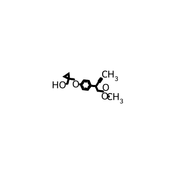 CC#CC(CC(=O)OC)c1ccc(OCC2(CO)CC2)cc1